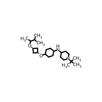 CC(C)C(C)O[C@H]1C[C@H](OC2CCC(NC3CCN(C(C)(C)C)CC3)CC2)C1